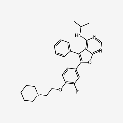 CC(C)Nc1ncnc2oc(-c3ccc(OCCN4CCCCC4)c(F)c3)c(-c3ccccc3)c12